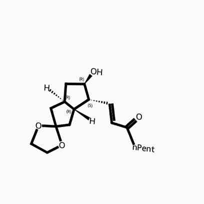 CCCCCC(=O)C=C[C@@H]1[C@@H]2CC3(C[C@H]2C[C@H]1O)OCCO3